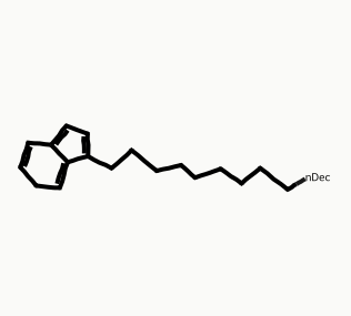 CCCCCCCCCCCCCCCCCCCC1=CC=C2C=CCC=C21